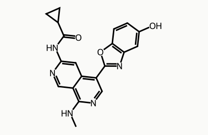 CNc1ncc(-c2nc3cc(O)ccc3o2)c2cc(NC(=O)C3CC3)ncc12